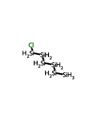 [SiH3][SiH2][SiH2][SiH2][SiH2][SiH2]Cl